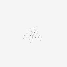 c1cncc(-c2nc(-n3c4c(c5ccccc53)-c3ccccc3C3Sc5ccccc5C43)nc3c2sc2ccccc23)c1